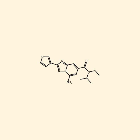 CCN(C(=O)c1cc(N)n2nc(-c3ccoc3)nc2c1)C(C)C